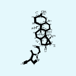 Cc1c(C#N)cnn1CC(=O)[C@H]1[C@H]2[C@@H](C)[C@H]2[C@H]2[C@@H]3CC[C@@H]4C[C@](C)(O)CC[C@@H]4[C@H]3CC[C@@]21C